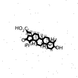 CC(C)C1=C2[C@H]3CC[C@@H]4[C@@]5(C)CC[C@H](O)C(C)[C@@H]5CC[C@@]4(C)[C@]3(C)CC[C@@]2(/C=C/C(=O)O)CC1=O